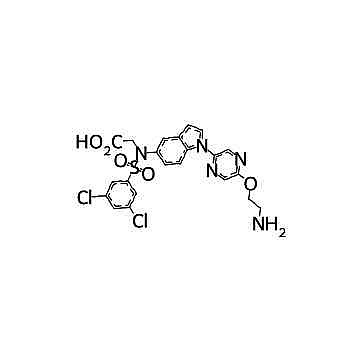 NCCOc1cnc(-n2ccc3cc(N(CC(=O)O)S(=O)(=O)c4cc(Cl)cc(Cl)c4)ccc32)cn1